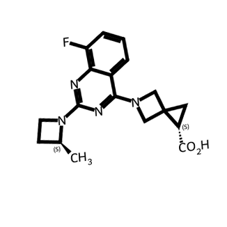 C[C@H]1CCN1c1nc(N2CC3(C[C@@H]3C(=O)O)C2)c2cccc(F)c2n1